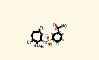 CCC1=CCC(CC)=C(OC)C(NS(=O)(=O)c2cccc(C(=O)N=O)c2)=C1